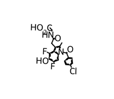 Cc1c(CC(=O)NCC(=O)O)c2c(F)c(O)c(F)cc2n1C(=O)c1ccc(Cl)cc1